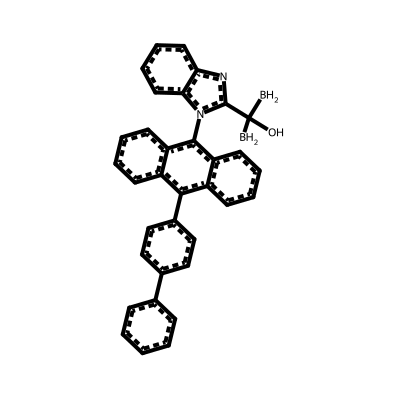 BC(B)(O)c1nc2ccccc2n1-c1c2ccccc2c(-c2ccc(-c3ccccc3)cc2)c2ccccc12